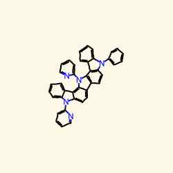 c1ccc(-n2c3ccccc3c3c2ccc2c4ccc5c(c6ccccc6n5-c5ccccn5)c4n(-c4ccccn4)c23)cc1